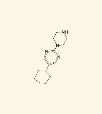 c1nc(N2CCNCC2)ncc1C1CCCCC1